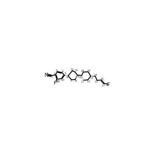 N#Cc1ccc([C@H]2CC[C@H]([C@H]3CC[C@H](CC/C=C/F)CC3)CC2)cc1F